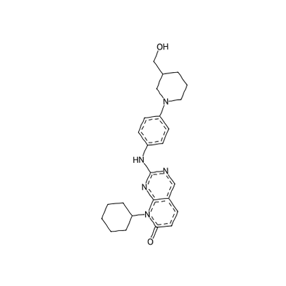 O=c1ccc2cnc(Nc3ccc(N4CCCC(CO)C4)cc3)nc2n1C1CCCCC1